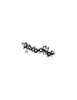 CC(C)[C@H](NC(=O)CC1CCc2cc(-c3ccc(NC(=O)Nc4cccc(C(F)(F)F)c4)cc3)ccc2C1)C(=O)O